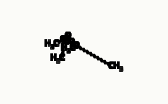 CCCCCCCCCCCCCCCCCCCCOC(C)c1ccc(-c2ccccc2C(=O)OC(CCC)CCCCCCCC)cc1